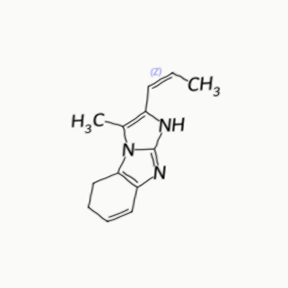 C/C=C\c1[nH]c2nc3c(n2c1C)CCC=C3